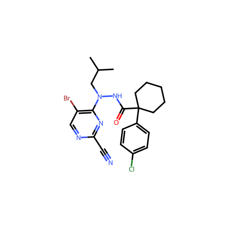 CC(C)CN(NC(=O)C1(c2ccc(Cl)cc2)CCCCC1)c1nc(C#N)ncc1Br